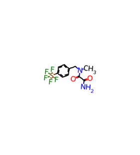 CN(Cc1ccc(S(F)(F)(F)(F)F)cc1)C(=O)C(N)=O